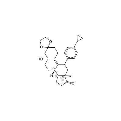 C[C@]12CC(c3ccc(C4CC4)cc3)C3=C4CCC5(CC4(O)CC[C@H]3[C@@H]1CCC2=O)OCCO5